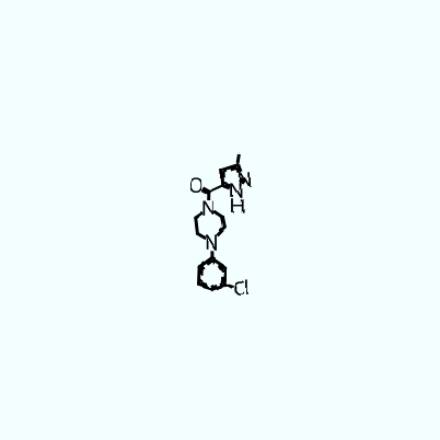 Cc1cc(C(=O)N2CCN(c3cccc(Cl)c3)CC2)[nH]n1